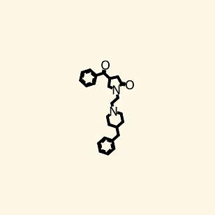 O=C(c1ccccc1)C1CC(=O)N(CCN2CCC(Cc3ccccc3)CC2)C1